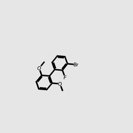 COc1cccc(OC)c1-c1cccc(Br)c1F